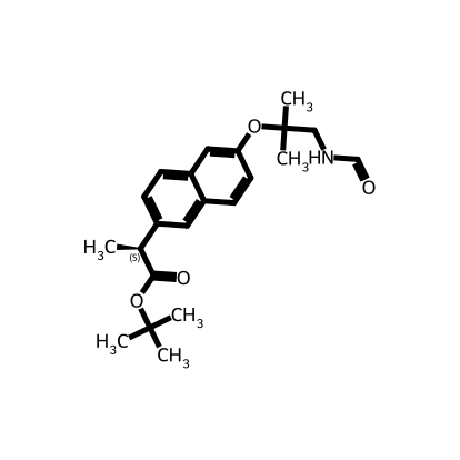 C[C@H](C(=O)OC(C)(C)C)c1ccc2cc(OC(C)(C)CNC=O)ccc2c1